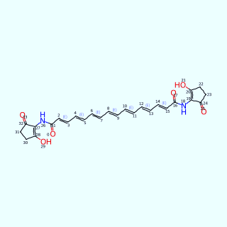 O=C(/C=C/C=C/C=C/C=C/C=C/C=C/C=C/C(=O)NC1=C(O)CCC1=O)NC1=C(O)CCC1=O